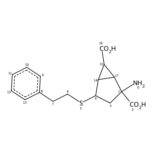 NC1(C(=O)O)CC(SCCc2ccccc2)C2C(C(=O)O)C21